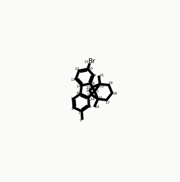 Cc1ccc2c(c1)C1(c3cc(Br)ccc3-2)C2(C)CCCC1(C)CCC2